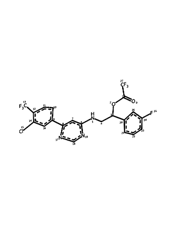 O=C(OC(CNc1cc(-c2ccc(C(F)(F)F)c(Cl)c2)ncn1)c1cccc(F)c1)C(F)(F)F